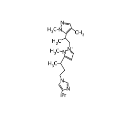 Cc1cnn(C)c1C(C)C[n+]1ccc(C(C)CCn2cnc(C(C)C)c2)n1C